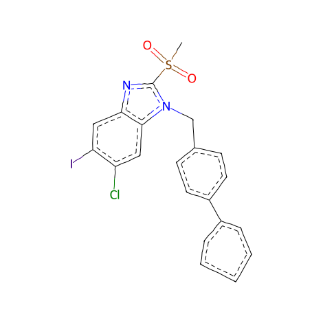 CS(=O)(=O)c1nc2cc(I)c(Cl)cc2n1Cc1ccc(-c2ccccc2)cc1